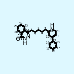 O=c1[nH]nc(CCCCCC2CC(c3ccccc3)=CCN2)c2ccccc12